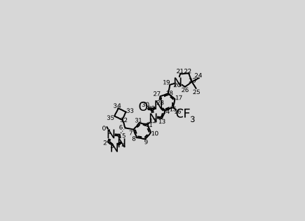 Cn1cnnc1[C@@H](c1cccc(-n2cc3c(C(F)(F)F)cc(CN4CCC(C)(C)C4)cn3c2=O)c1)C1CCC1